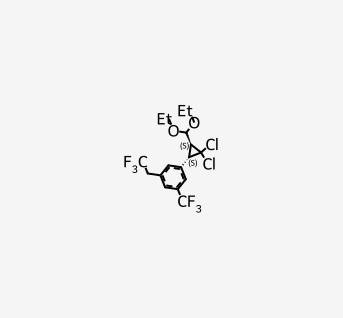 CCOC(OCC)[C@@H]1[C@@H](c2cc(CC(F)(F)F)cc(C(F)(F)F)c2)C1(Cl)Cl